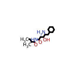 CC[C@H](C)C(=O)NC(=O)C[C@H](O)[C@@H](N)CC1CCCCC1